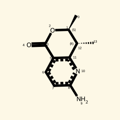 C[C@@H]1OC(=O)c2ccc(N)nc2[C@H]1C